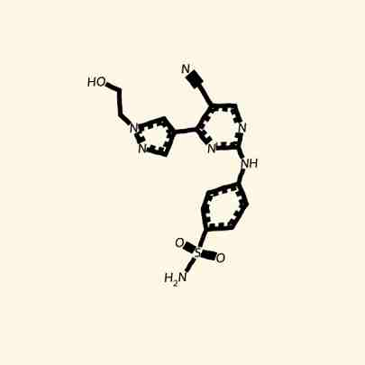 N#Cc1cnc(Nc2ccc(S(N)(=O)=O)cc2)nc1-c1cnn(CCO)c1